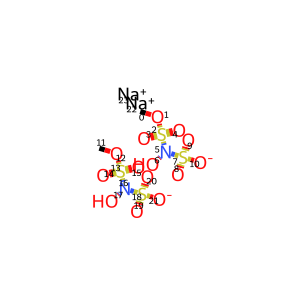 COS(=O)(=O)N(O)S(=O)(=O)[O-].COS(=O)(=O)N(O)S(=O)(=O)[O-].[Na+].[Na+]